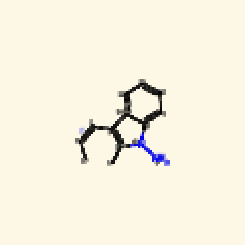 C/C=C\c1c(C)n(N)c2ccccc12